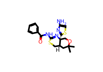 CC1(C)C[C@H]2CSC(NC(=O)c3ccccc3)=N[C@@]2(c2nc(N)cs2)CO1